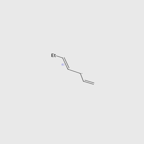 C=C[CH]/C=C/CC